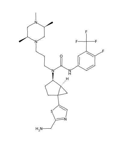 C[C@H]1CN(CCCN(C(=O)Nc2ccc(F)c(C(F)(F)F)c2)[C@@H]2CCC3(c4cnc(CN)s4)C[C@H]23)[C@@H](C)CN1C